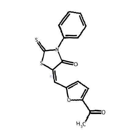 CC(=O)c1ccc(/C=C2/SC(=S)N(c3ccccc3)C2=O)o1